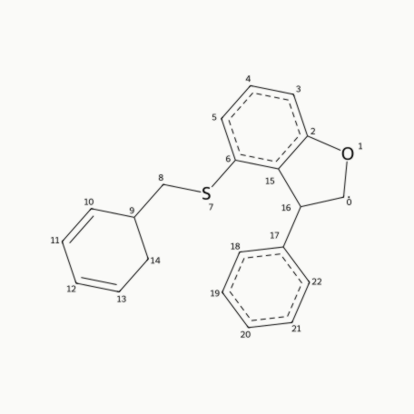 [CH]1Oc2cccc(SCC3C=CC=CC3)c2C1c1ccccc1